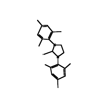 [CH2]C1N(c2c(C)cc(C)cc2C)CCN1c1c(C)cc(C)cc1C